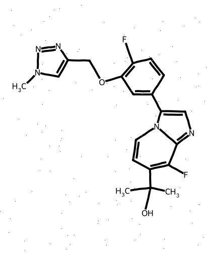 Cn1cc(COc2cc(-c3cnc4c(F)c(C(C)(C)O)ccn34)ccc2F)nn1